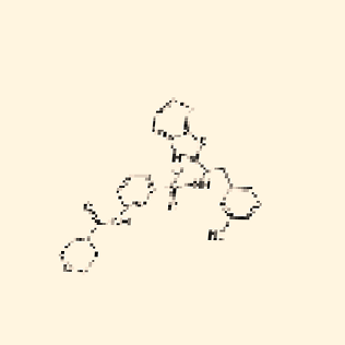 N#Cc1cccc(CC(NS(=O)(=O)c2cccc(NC(=O)C3CCOCC3)c2)c2nc3ccccc3s2)c1